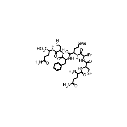 CSCCC(NC(=O)C(NC(=O)C(CS)NC(=O)C(N)CCC(N)=O)C(C)C)C(=O)NC(Cc1ccccc1)C(=O)NC(CS)C(=O)NC(CCC(N)=O)C(=O)O